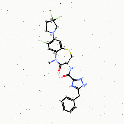 CN1C(=O)[C@@H](NC(=O)c2n[nH]c(Cc3ccccc3)n2)CSc2cc(N3CCC(F)(F)C3)c(F)cc21